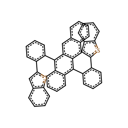 c1ccc(-c2c3ccccc3c(-c3ccccc3-c3cc4ccccc4s3)c3cc4ccccc4cc23)c(-c2cc3ccccc3s2)c1